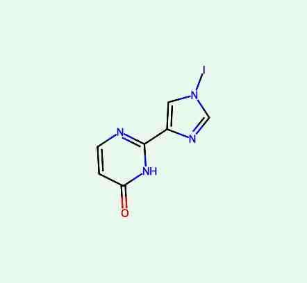 O=c1ccnc(-c2cn(I)cn2)[nH]1